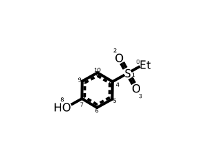 [CH2]CS(=O)(=O)c1ccc(O)cc1